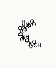 COC(OC)c1ccc(C(=O)Nc2cccc(-c3cccc(NC(=O)c4ccc(CN5CCCC[C@H]5C(=O)O)cn4)c3C)c2Cl)nc1